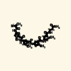 C=C(Br)C(=O)Nc1cn(C)c(C(=O)Nc2cc(C(=O)Nc3cc(C(=O)Nc4cc(C(=O)NCCC(N)=O)n(C)c4)n(C)c3)n(C)c2)n1